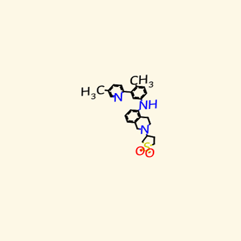 Cc1ccc(-c2cc(Nc3cccc4c3CCN(C3CCS(=O)(=O)C3)C4)ccc2C)nc1